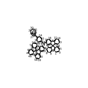 c1ccc(C2(c3ccccc3)c3ccccc3-c3ccc(N(c4ccc(C56CC7CC(CC5C7)C6)cc4)c4ccc5c(c4)C(c4ccccc4)(c4ccccc4)c4ccccc4-5)cc32)cc1